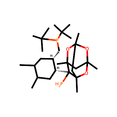 CC1C[C@H](CP(C(C)(C)C)C(C)(C)C)[C@H](C2(P)C3(C)CC4(C)OC(C)(CC2(C)O4)O3)CC1C